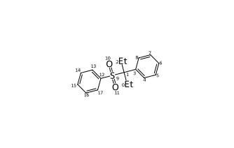 [CH2]CC(C[CH2])(c1ccccc1)S(=O)(=O)c1ccccc1